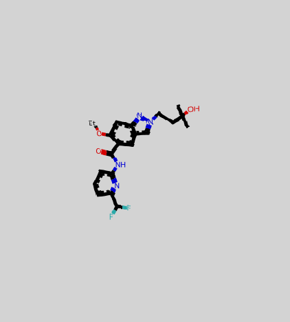 CCOc1cc2nn(CCC(C)(C)O)cc2cc1C(=O)Nc1cccc(C(F)F)n1